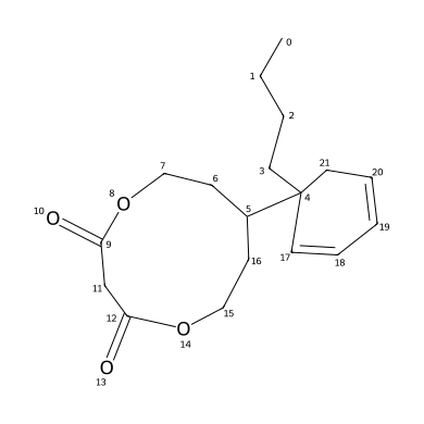 CCCCC1(C2CCOC(=O)CC(=O)OCC2)C=CC=CC1